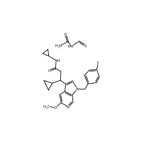 COc1cc2c(C(CC(=O)NC3CC3)C3CC3)cn(Cc3ccc(F)cc3)c2cn1.NC(=O)NC=O